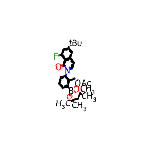 CC(=O)OCc1c(B2OC(C)(C)CC(C)(C)O2)cccc1-n1ccc2cc(C(C)(C)C)cc(F)c2c1=O